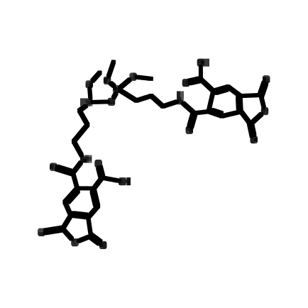 CO[SiH](CCCNC(=O)c1cc2c(cc1C(=O)O)C(=O)OC2=O)O[Si](CCCNC(=O)c1cc2c(cc1C(=O)O)C(=O)OC2=O)(OC)OC